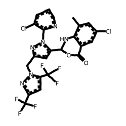 Cc1cc(Cl)cc2c1NC(c1cc(Cn3nc(C(F)(F)F)cc3C(F)(F)F)nn1-c1ncccc1Cl)OC2=O